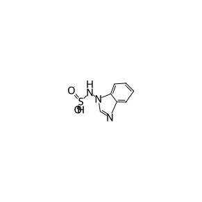 O=[SH](=O)Nn1cnc2ccccc21